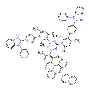 Cc1cc(C)c(-c2nc(-c3c(C)cc(C)c(-c4ccc(-c5[nH]c6ccccc6[n+]5-c5ccccc5)cc4)c3C)nc(-c3c(C)cc(C)c(-c4c5ccccc5c(-c5ccc6ccccc6c5)c5ccccc45)c3C)n2)c(C)c1-c1ccc(-c2[nH]c3ccccc3[n+]2-c2ccccc2)cc1